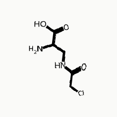 NC(CNC(=O)CCl)C(=O)O